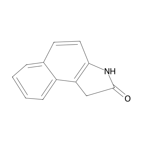 O=C1Cc2c(ccc3ccccc23)N1